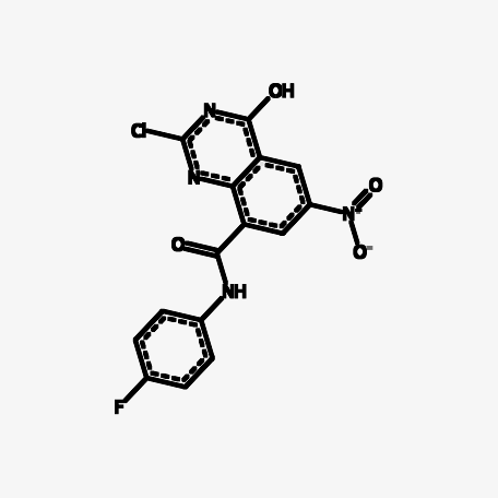 O=C(Nc1ccc(F)cc1)c1cc([N+](=O)[O-])cc2c(O)nc(Cl)nc12